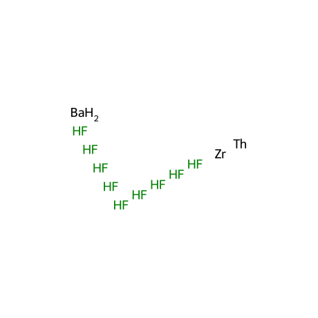 F.F.F.F.F.F.F.F.F.[BaH2].[Th].[Zr]